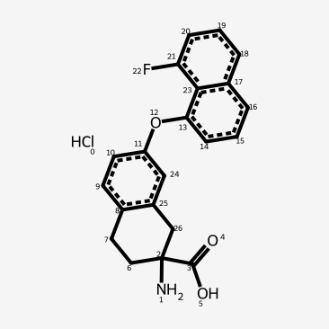 Cl.NC1(C(=O)O)CCc2ccc(Oc3cccc4cccc(F)c34)cc2C1